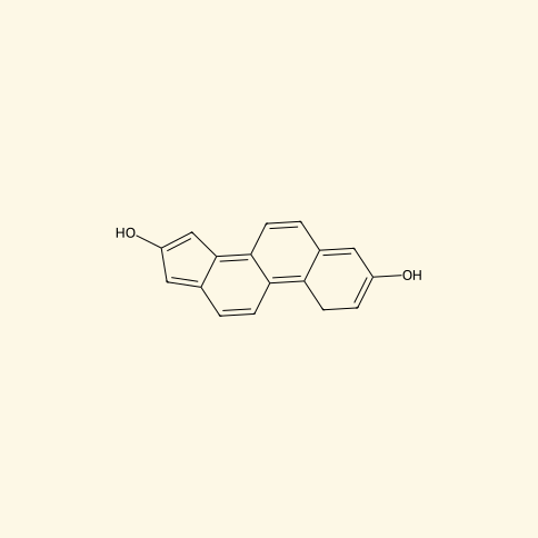 OC1=CCc2c(ccc3c4c(ccc23)=CC(O)=C4)=C1